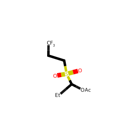 CCC(OC(C)=O)S(=O)(=O)CCC(F)(F)F